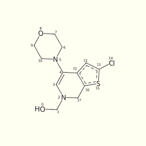 OCN1C=C(N2CCOCC2)c2cc(Cl)sc2C1